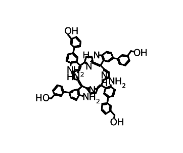 Nc1ccc(-c2cccc(CO)c2)cc1-c1c2nc(c(-c3cc(-c4cccc(CO)c4)ccc3N)c3ccc([nH]3)c(-c3cc(-c4cccc(CO)c4)ccc3N)c3nc(c(-c4cc(-c5cccc(CO)c5)ccc4N)c4ccc1[nH]4)C=C3)C=C2